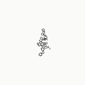 Cc1cc(Oc2ccccc2)ccc1N1C(=O)Nc2c(C(=O)N[C@@H]3CCCN(C(=O)CN4CCCC4)C3)sc3nccc1c23